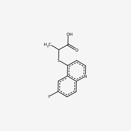 CC(Sc1ccnc2ccc(I)cc12)C(=O)O